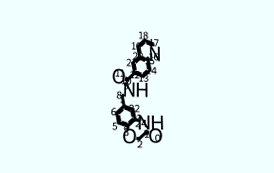 O=C1COc2ccc(CNC(=O)c3ccc4ncccc4c3)cc2N1